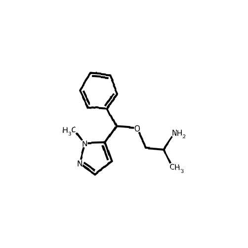 CC(N)COC(c1ccccc1)c1ccnn1C